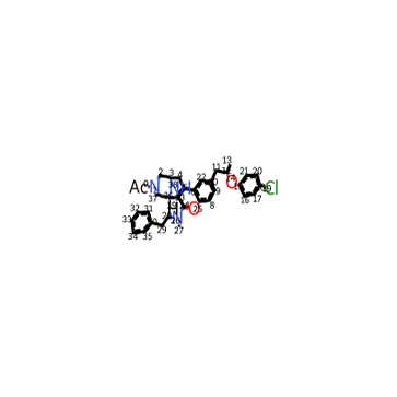 CC(=O)N1CC2CC(c3cccc(CC(C)Oc4ccc(Cl)cc4)c3)=C(C(=O)N(C)CCc3ccccc3)[C@@H](C1)N2